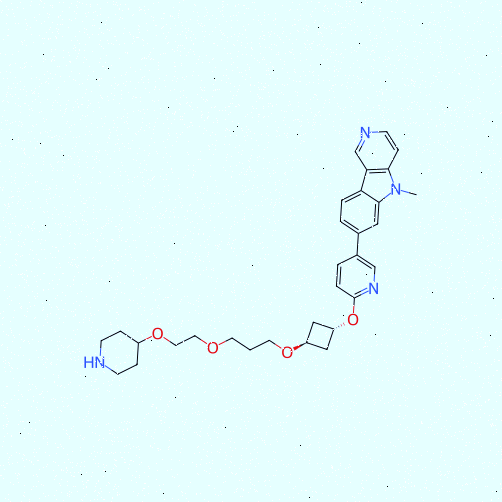 Cn1c2ccncc2c2ccc(-c3ccc(O[C@H]4C[C@H](OCCCOCCOC5CCNCC5)C4)nc3)cc21